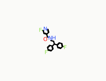 O=C(NCCC(c1ccc(F)cc1)c1ccc(F)cc1)c1ccnc(F)c1